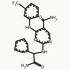 NC(=O)c1cnc(NC(C(N)=O)c2ccccc2)nc1Nc1cccc(C(F)(F)F)c1